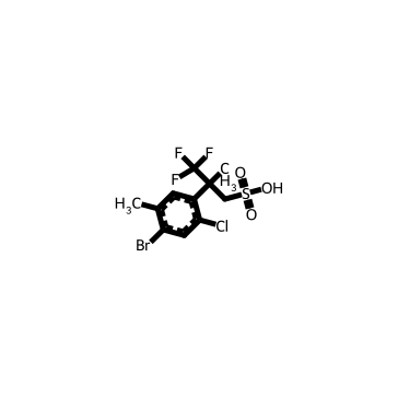 Cc1cc(C(C)(CS(=O)(=O)O)C(F)(F)F)c(Cl)cc1Br